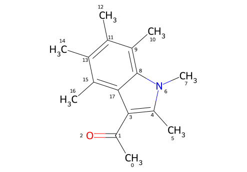 CC(=O)c1c(C)n(C)c2c(C)c(C)c(C)c(C)c12